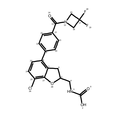 O=C(O)NCC1Cc2c(-c3ccc(C(=O)N4CC(F)(F)C4)cc3)ccc(Cl)c2O1